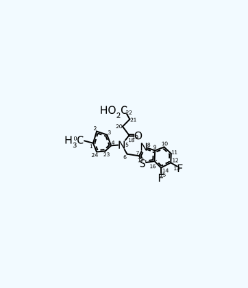 Cc1ccc(N(Cc2nc3ccc(F)c(F)c3s2)C(=O)CCC(=O)O)cc1